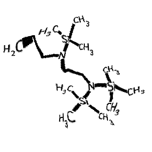 C=CCN(CCN([Si](C)(C)C)[Si](C)(C)C)[Si](C)(C)C